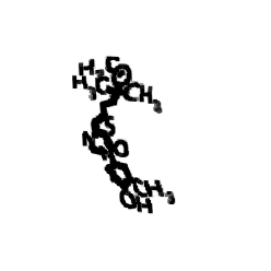 COC(C)(C)CCc1cc2ncn(-c3ccc(O)c(C)c3)c(=O)c2s1